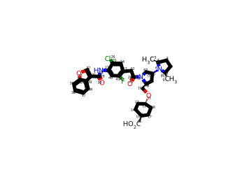 C[C@@H]1CC[C@@H](C)N1[C@H]1C[C@@H](CO[C@H]2CC[C@H](C(=O)O)CC2)N(C(=O)Cc2cc(Cl)c(NC(=O)c3coc4ccccc34)cc2F)C1